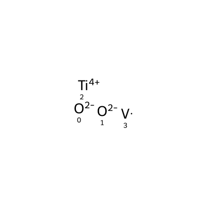 [O-2].[O-2].[Ti+4].[V]